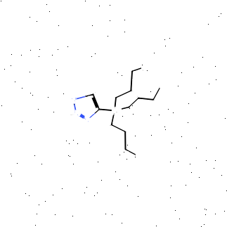 CCC[CH2][Sn]([CH2]CCC)([CH2]CCC)[c]1c[nH]nn1